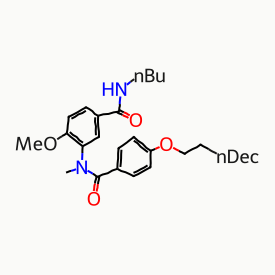 CCCCCCCCCCCCOc1ccc(C(=O)N(C)c2cc(C(=O)NCCCC)ccc2OC)cc1